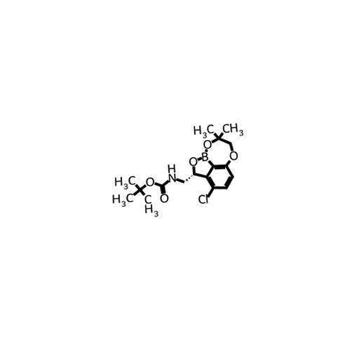 CC(C)(C)OC(=O)NC[C@@H]1OB2OC(C)(C)COc3ccc(Cl)c1c32